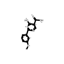 COc1cccc(-c2ncc(C(=O)O)c(O)n2)c1